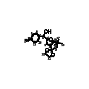 CC1(c2cc(C(O)c3ccc(F)cc3)oc2[Si](C)(C)C)OCCO1